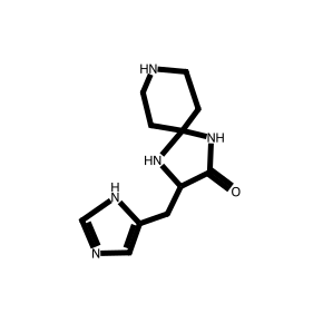 O=C1NC2(CCNCC2)NC1Cc1cnc[nH]1